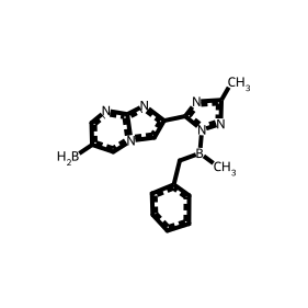 Bc1cnc2nc(-c3nc(C)nn3B(C)Cc3ccccc3)cn2c1